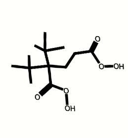 CC(C)(C)C(CCC(=O)OO)(C(=O)OO)C(C)(C)C